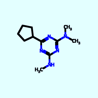 CNc1nc(C2CCCC2)nc(N(C)C)n1